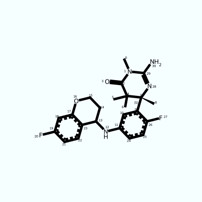 CN1C(=O)C(C)(C)[C@@](C)(c2cc(NC3CCOc4cc(F)ccc43)ccc2F)N=C1N